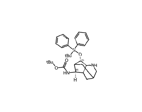 CC(C)(C)OC(=O)N[C@@H]1C2CC3CNC2[C@@H](O[Si](c2ccccc2)(c2ccccc2)C(C)(C)C)C1C3